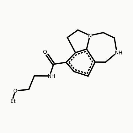 CCOCCNC(=O)c1ccc2c3c1CCN3CCNC2